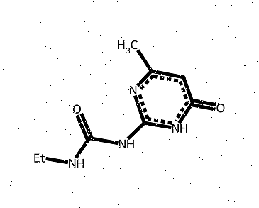 CCNC(=O)Nc1nc(C)cc(=O)[nH]1